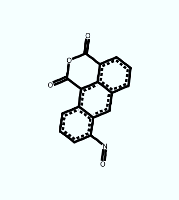 O=Nc1cccc2c3c4c(cccc4cc12)C(=O)OC3=O